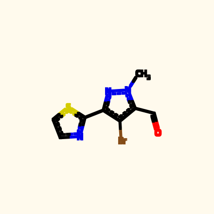 Cn1nc(-c2nccs2)c(Br)c1C=O